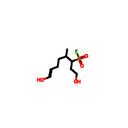 CC(CCC=CO)C(CCO)S(=O)(=O)F